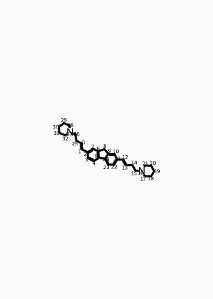 C(=Cc1ccc2c(c1)Cc1cc(C=CCCN3CCCCC3)ccc1-2)CCN1CCCCC1